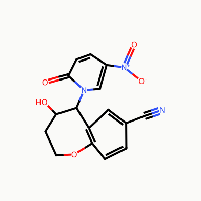 N#Cc1ccc2c(c1)C(n1cc([N+](=O)[O-])ccc1=O)C(O)CCO2